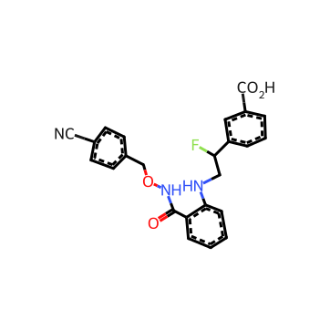 N#Cc1ccc(CONC(=O)c2ccccc2NCC(F)c2cccc(C(=O)O)c2)cc1